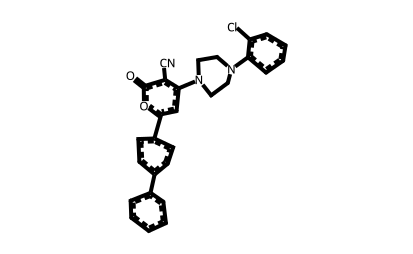 N#Cc1c(N2CCN(c3ccccc3Cl)CC2)cc(-c2ccc(-c3ccccc3)cc2)oc1=O